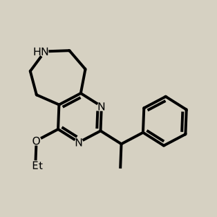 CCOc1nc(C(C)c2ccccc2)nc2c1CCNCC2